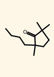 CCCCC1(C)CCC(C)(C)C1=O